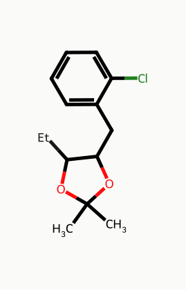 [CH2]CC1OC(C)(C)OC1Cc1ccccc1Cl